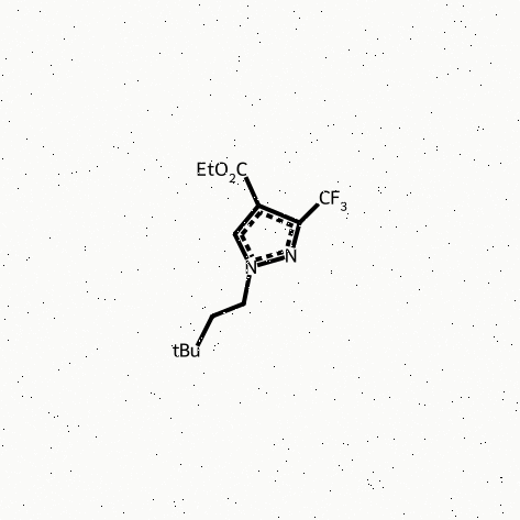 CCOC(=O)c1cn(CCC(C)(C)C)nc1C(F)(F)F